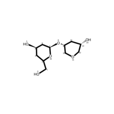 OCC1C[C@@H](O)C[C@@H](O[C@H]2COC[C@@H](O)C2)O1